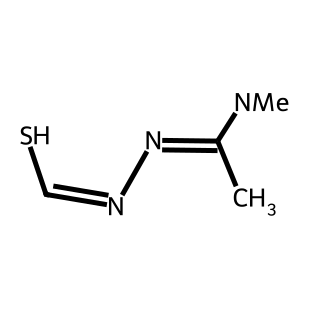 CN/C(C)=N/N=C\S